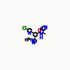 CCCn1nccc1-c1cc(C(=O)NC(C)c2cnccn2)cc(-c2ccc(Cl)cn2)c1